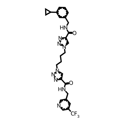 O=C(NCc1cccc(C2CC2)c1)c1cn(CCCCn2cc(C(=O)NCc3cncc(C(F)(F)F)c3)nn2)nn1